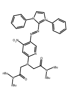 CCCCN(CCCC)C(=O)CN(CC(=O)N(CCCC)CCCC)c1cc([N+](=O)[O-])c(/N=N/c2n(-c3ccccc3)cc[n+]2-c2ccccc2)cn1